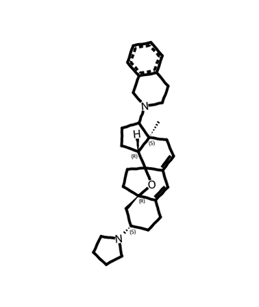 C[C@]12CC=C3C=C4CC[C@H](N5CCCC5)C[C@]45CCC3(O5)[C@@H]1CCC2N1CCc2ccccc2C1